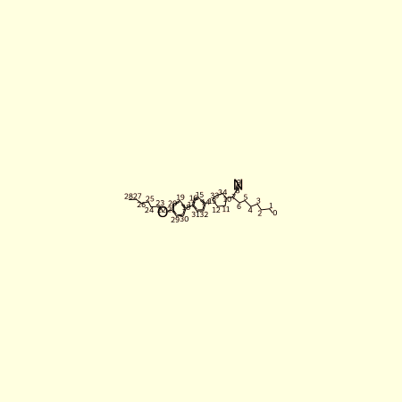 CCCCCCCC(C#N)[C@H]1CC[C@H](c2ccc(-c3ccc(OCCCCCC)cc3)cc2)CC1